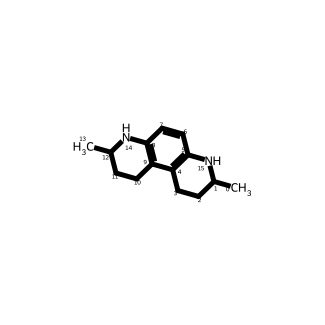 CC1CCc2c(ccc3c2CCC(C)N3)N1